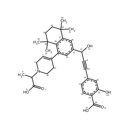 CC(C(=O)O)N1CC=C(c2cc(C(O)C#Cc3ccc(C(=O)O)c(O)c3)cc3c2C(C)(C)CCC3(C)C)CC1